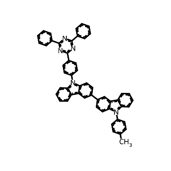 Cc1ccc(-n2c3ccccc3c3cc(-c4ccc5c(c4)c4ccccc4n5-c4ccc(-c5nc(-c6ccccc6)nc(-c6ccccc6)n5)cc4)ccc32)cc1